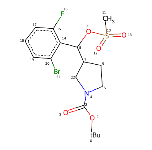 CC(C)(C)OC(=O)N1CCC(C(OS(C)(=O)=O)c2c(F)cccc2Br)C1